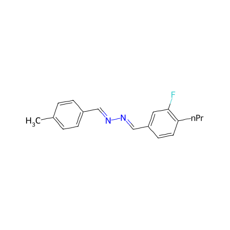 CCCc1ccc(C=NN=Cc2ccc(C)cc2)cc1F